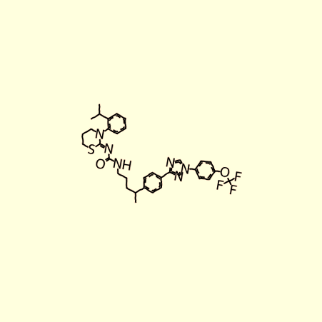 CC(C)c1ccccc1N1CCCS/C1=N\C(=O)NCCCC(C)c1ccc(-c2ncn(-c3ccc(OC(F)(F)F)cc3)n2)cc1